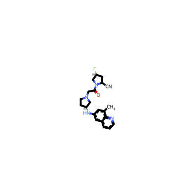 Cc1cc(N[C@@H]2CCN(CC(=O)N3C[C@@H](F)CC3C#N)C2)cc2cccnc12